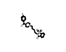 O=C(c1ccc(F)cc1)C1CCN(CCCCN2C(=O)c3ccccc3S2(=O)=O)CC1